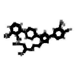 COCC(C)NCCn1cc(-c2ccc(F)c(C(F)(F)F)c2)nc1C1CCN(c2ncnc(N)c2C#N)CC1